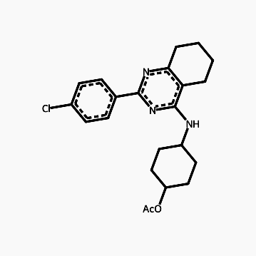 CC(=O)OC1CCC(Nc2nc(-c3ccc(Cl)cc3)nc3c2CCCC3)CC1